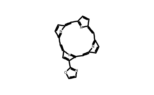 C1=CC2=NC1=CC1=NC(=CC3=NC(=CC4=NC(=C2)C=C4)C=C3c2ncco2)C=C1